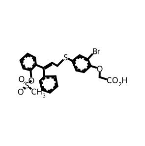 CS(=O)(=O)Oc1ccccc1C(=CCSc1ccc(OCC(=O)O)c(Br)c1)c1ccccc1